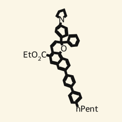 CCCCCc1ccc(-c2ccc(-c3ccc4c5c(c(C(=O)OCC)cc4c3)C=CC(c3ccccc3)(c3ccc(N4CCCC4)cc3)O5)cc2)cc1